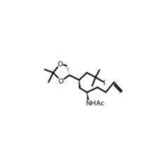 C=CCC[C@H](C[C@H](CC(C)(C)I)[C@H]1COC(C)(C)O1)NC(C)=O